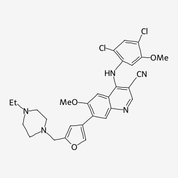 CCN1CCN(Cc2cc(-c3cc4ncc(C#N)c(Nc5cc(OC)c(Cl)cc5Cl)c4cc3OC)co2)CC1